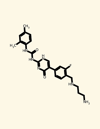 Cc1ccc(NC(=O)Nc2nc(=O)c(-c3ccc(CNCCCN)c(F)c3)c[nH]2)c(C)c1